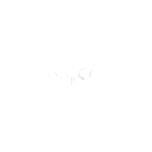 O=[N+]([O-])CCNc1ccc(C(F)(F)F)cc1